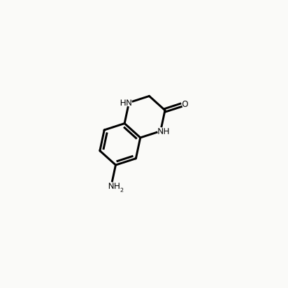 Nc1ccc2c(c1)NC(=O)CN2